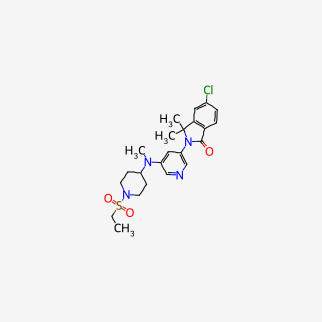 CCS(=O)(=O)N1CCC(N(C)c2cncc(N3C(=O)c4ccc(Cl)cc4C3(C)C)c2)CC1